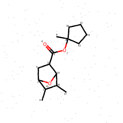 CC1C2CC(C(=O)OC3(C)CCCC3)C(O2)C1C